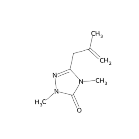 C=C(C)Cc1nn(C)c(=O)n1C